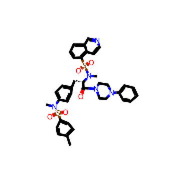 Cc1ccc(S(=O)(=O)N(C)c2ccc(C[C@@H](C(=O)N3CCN(c4ccccc4)CC3)N(C)S(=O)(=O)c3cccc4cnccc34)cc2)cc1